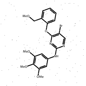 COCc1ccccc1Oc1nc(Nc2cc(OC)c(OC)c(OC)c2)ncc1Br